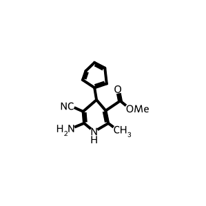 COC(=O)C1=C(C)NC(N)=C(C#N)C1c1ccccc1